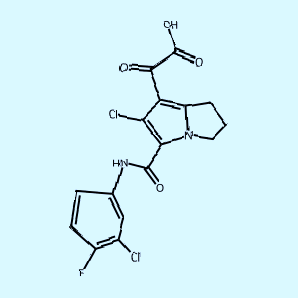 O=C(O)C(=O)c1c(Cl)c(C(=O)Nc2ccc(F)c(Cl)c2)n2c1CCC2